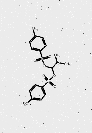 Cc1ccc(S(=O)(=O)OC(OS(=O)(=O)c2ccc(C)cc2)C(C)C)cc1